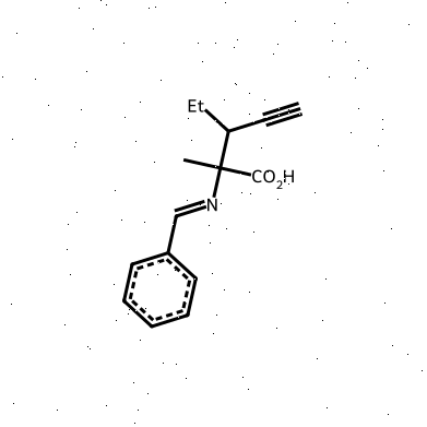 C#CC(CC)C(C)(N=Cc1ccccc1)C(=O)O